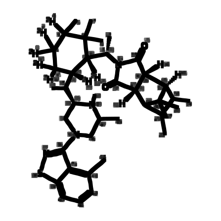 [2H]C1([2H])C([2H])(C)C(C)(C)[C@]([2H])([C@H](C)N2C(=O)[C@@H]3[C@H]4C(C)C(C)C([C@@H]3C2=O)C4(C)C)[C@]([2H])(C(C)[C@@H]2CN(c3nsc4cccc(C)c34)CC(C)N2C)C1([2H])[2H]